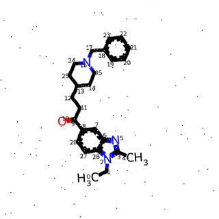 CCn1c(C)nc2cc(C(=O)CCC3CCN(Cc4ccccc4)CC3)ccc21